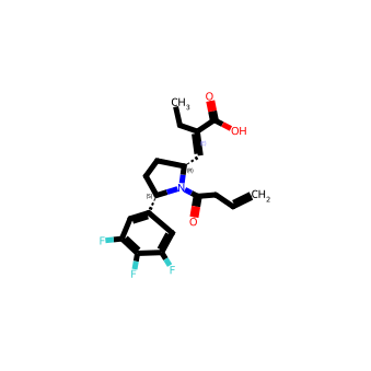 C=CCC(=O)N1[C@@H](/C=C(\CC)C(=O)O)CC[C@H]1c1cc(F)c(F)c(F)c1